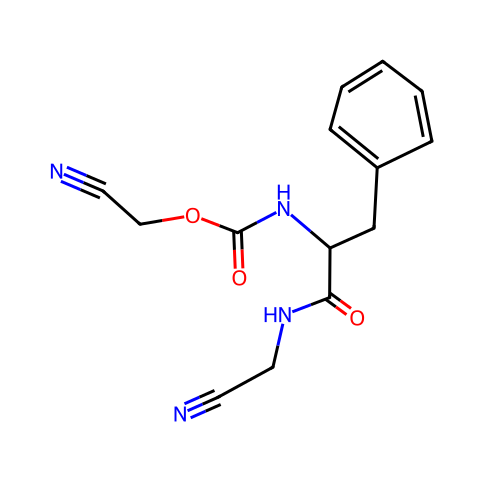 N#CCNC(=O)C(Cc1ccccc1)NC(=O)OCC#N